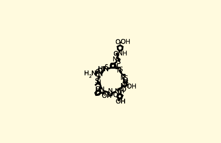 Cc1sc2nc1C(=O)N[C@@H]([C@H](O)c1ccccc1)c1nc(cs1)C(=O)N[C@@H](Cc1ccc(O)cc1)C(=O)N1C[C@H](O)[C@H](C)[C@H]1c1nc(cs1)-c1nc(cs1)-c1nc(-c3nc(C(=O)N[C@H]4CC[C@@H](C(=O)O)CC4)cs3)ccc1-c1nc(cs1)C(=O)N[C@H]2CC(N)=O